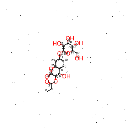 CCC(=O)Oc1c(O)c2ccc(O[C@@H]3O[C@H](CO)[C@@H](O)[C@H](O)[C@@H]3O)cc2oc1=O